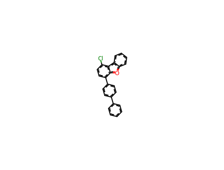 Clc1ccc(-c2ccc(-c3ccccc3)cc2)c2oc3ccccc3c12